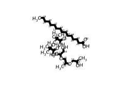 CC(C)(C)C(=O)O.CC(C)(C)C(=O)O.CC(O)COC(C)COC(C)CO.CCCCCCCCCCCCCCCC(=O)O